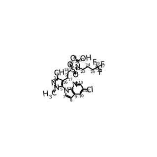 Cc1nn(C)c(-n2ccc3cc(Cl)cnc32)c1CCS(=O)(=O)N(CCCC(F)(F)F)C(=O)O